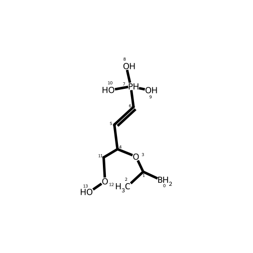 BC(C)OC(/C=C/[PH](O)(O)O)COO